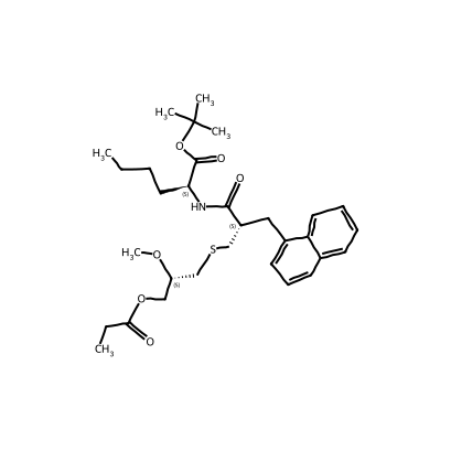 CCCC[C@H](NC(=O)[C@@H](CSC[C@H](COC(=O)CC)OC)Cc1cccc2ccccc12)C(=O)OC(C)(C)C